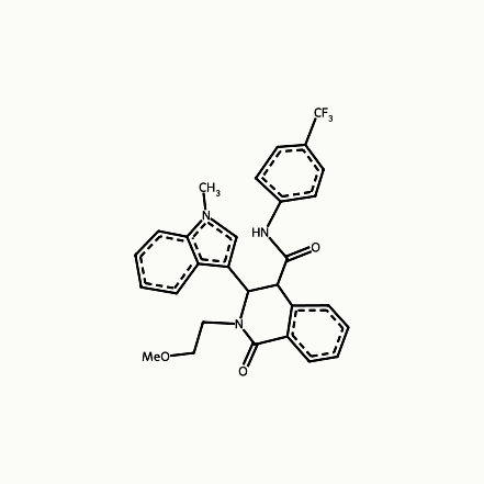 COCCN1C(=O)c2ccccc2C(C(=O)Nc2ccc(C(F)(F)F)cc2)C1c1cn(C)c2ccccc12